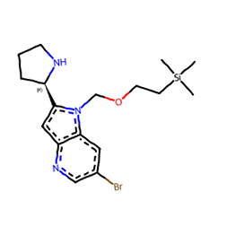 C[Si](C)(C)CCOCn1c([C@H]2CCCN2)cc2ncc(Br)cc21